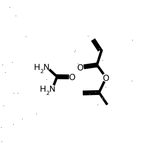 C=CC(=O)OC(=C)C.NC(N)=O